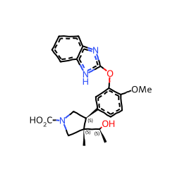 COc1ccc([C@@H]2CN(C(=O)O)C[C@@]2(C)[C@H](C)O)cc1Oc1nc2ccccc2[nH]1